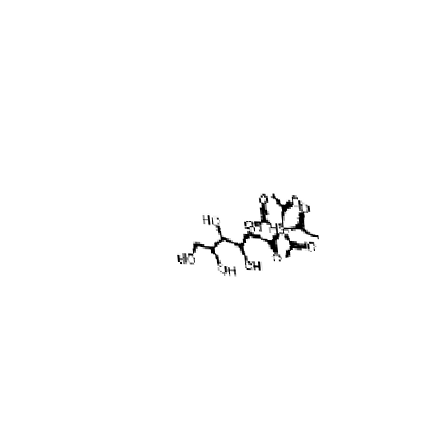 CC(=O)[SH](C(C)=O)(C(C)=O)(C(C)=O)C(=O)C(O)C(O)C(O)C(O)CO